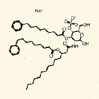 CCCCCCCCCCC[C@H](CC(=O)N[C@H]1C(O)O[C@H](CO)[C@@H](OS(=O)(=O)[O-])[C@@H]1OC(=O)CCCCCCCCc1ccccc1)OC(=O)CCCCCCCCc1ccccc1.[Na+]